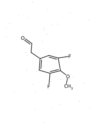 COc1c(F)cc(CC=O)cc1F